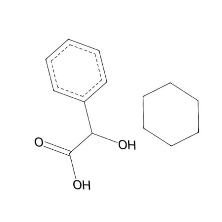 C1CCCCC1.O=C(O)C(O)c1ccccc1